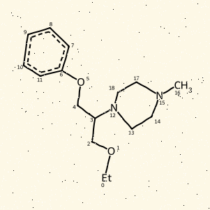 CCOCC(COc1ccccc1)N1CCN(C)CC1